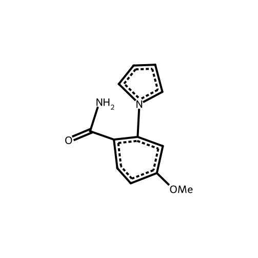 COc1ccc(C(N)=O)c(-n2cccc2)c1